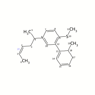 C/C=C\CC(C)c1ccc(SC)c(C2=CC=CCC2C)c1